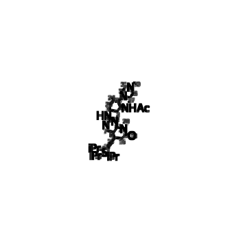 CC(=O)Nc1cc(Nc2ncc3c(C#C[Si](C(C)C)(C(C)C)C(C)C)cc(=O)n(C)c3n2)ccc1N1CCN(C)CC1